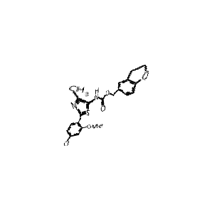 COc1cc(Cl)ccc1-c1nc(C)c(NC(=O)OCc2ccc3c(c2)CCO3)s1